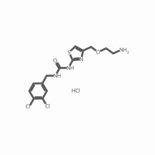 Cl.NCCOCc1csc(NC(=O)NCc2ccc(Cl)c(Cl)c2)n1